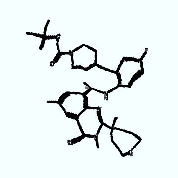 Cc1cc([C@@H](C)Nc2ccc(F)cc2C2CCN(C(=O)OC(C)(C)C)CC2)c2nc(C3(C)CCOCC3)n(C)c(=O)c2c1